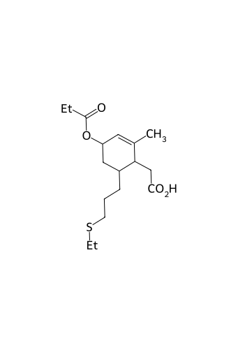 CCSCCCC1CC(OC(=O)CC)C=C(C)C1CC(=O)O